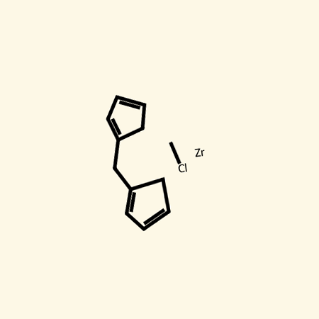 C1=CCC(CC2=CC=CC2)=C1.CCl.[Zr]